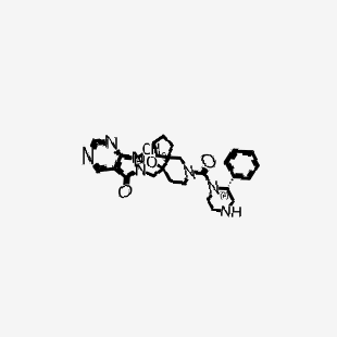 Cn1c2ncncc2c(=O)n1CC1(O)CCN(C(=O)N2CCNC[C@H]2c2ccccc2)CC12CCCC2